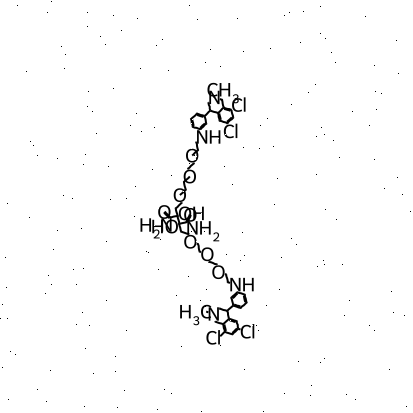 CN1Cc2c(Cl)cc(Cl)cc2C(c2cccc(NCCOCCOCCOCCC(O)(C(N)=O)C(O)(CCOCCOCCOCCNc3cccc(C4CN(C)Cc5c(Cl)cc(Cl)cc54)c3)C(N)=O)c2)C1